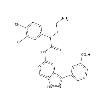 NCCC(C(=O)Nc1ccc2[nH]nc(-c3cccc(C(=O)O)c3)c2c1)c1ccc(Cl)c(Cl)c1